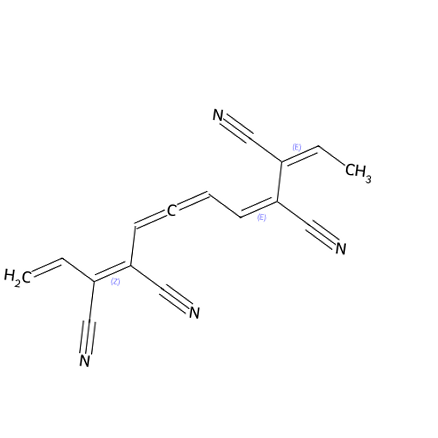 C=C/C(C#N)=C(/C#N)C=C=C/C=C(C#N)\C(C#N)=C/C